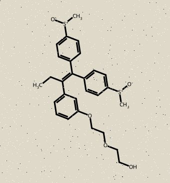 CCC(=C(c1ccc([S+](C)[O-])cc1)c1ccc([S+](C)[O-])cc1)c1cccc(OCCOCCO)c1